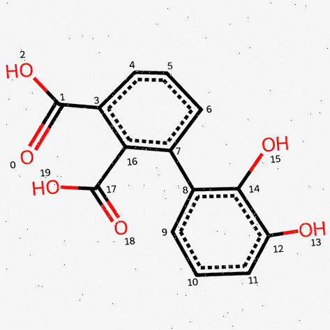 O=C(O)c1cccc(-c2cccc(O)c2O)c1C(=O)O